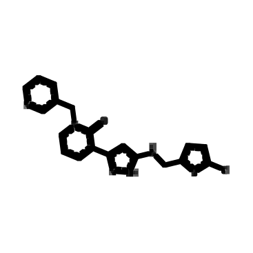 O=c1c(-c2cc(NCc3ccc(Cl)s3)[nH]n2)cccn1Cc1cccnc1